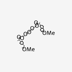 COc1ccc2cc(C(C)C(=O)OCCOCCOCCOCCOC(=O)C(C)c3ccc(CC(C)OC)cc3)ccc2c1